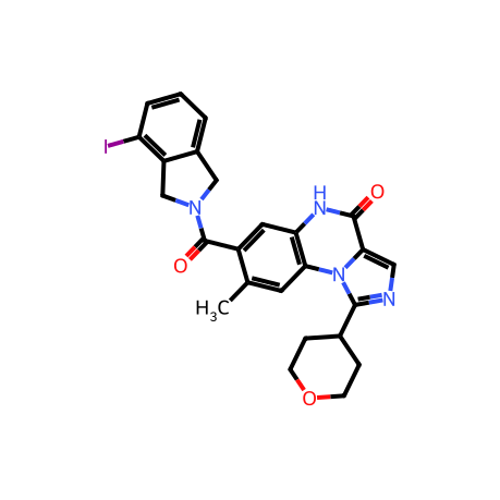 Cc1cc2c(cc1C(=O)N1Cc3cccc(I)c3C1)[nH]c(=O)c1cnc(C3CCOCC3)n12